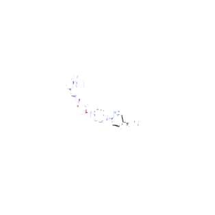 CC(/C=N/OCC(=O)N1CCN(c2ccc(C#N)cn2)CC1)NC(=O)O